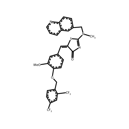 COc1cc(C=C2SC(N(C)Cc3ccc4ncccc4c3)=NC2=O)ccc1OCc1ccc(C(F)(F)F)cc1C(F)(F)F